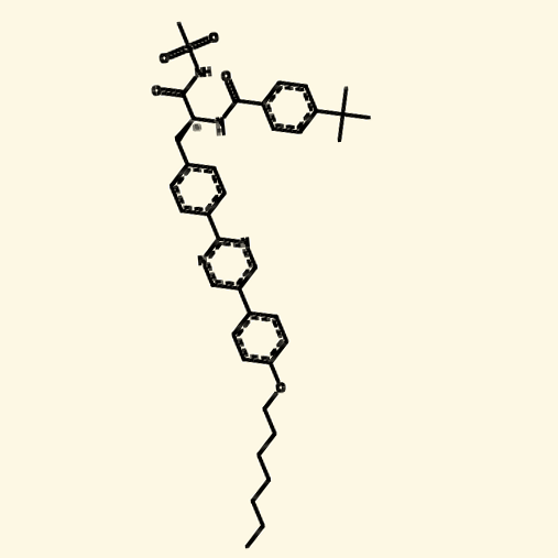 CCCCCCCOc1ccc(-c2cnc(-c3ccc(C[C@H](NC(=O)c4ccc(C(C)(C)C)cc4)C(=O)NS(C)(=O)=O)cc3)nc2)cc1